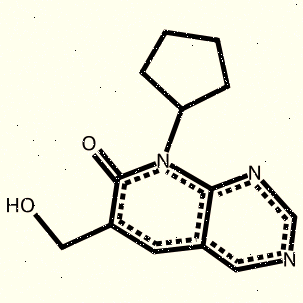 O=c1c(CO)cc2cncnc2n1C1CCCC1